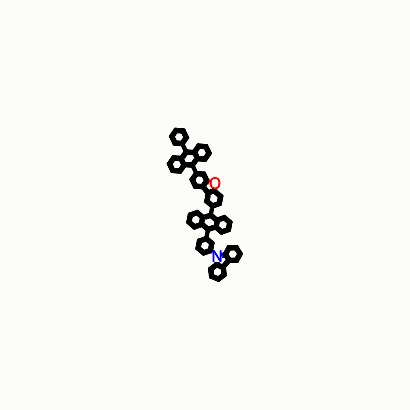 c1ccc(-c2c3ccccc3c(-c3ccc4c(c3)oc3ccc(-c5c6ccccc6c(-c6cccc(-n7c8ccccc8c8ccccc87)c6)c6ccccc56)cc34)c3ccccc23)cc1